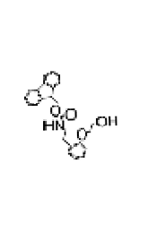 O=C(NCCc1ccccc1OCCO)OCC1c2ccccc2-c2ccccc21